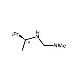 CNCN[C@@H](C)C(C)C